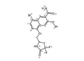 CC(C)Oc1cc2c(OCC3CC(F)(F)C(=O)N3)ncc(Br)c2cc1C(N)=O